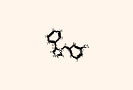 Clc1cccc(Cn2cncc2-c2ccccc2)c1